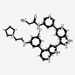 CC(C)(C)CC(=O)Nc1cncc(-c2cc3c(-c4cc5c(-c6cc(F)cc(OCCN7CCCC7)c6)ccnc5[nH]4)n[nH]c3cn2)c1